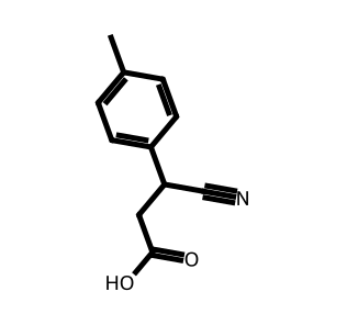 Cc1ccc(C(C#N)CC(=O)O)cc1